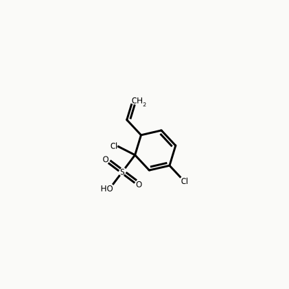 C=CC1C=CC(Cl)=CC1(Cl)S(=O)(=O)O